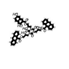 O=C(OCC(O)Cn1c(=O)n(CC(O)COC(=O)C2=C3C=CC=CC3Cc3ccccc32)c(=O)n(CC(O)COC(=O)c2cc3cc(O)ccc3cc2O)c1=O)C1=C2C=CC=CC2Cc2ccccc21